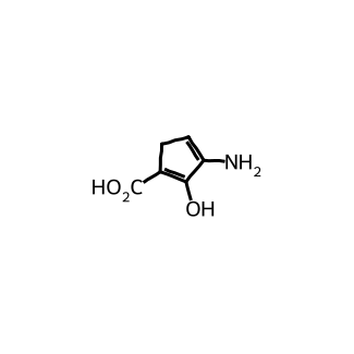 NC1=CCC(C(=O)O)=C1O